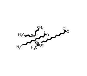 CC(=O)O.CCCCCCCCCCCC(=O)[O-].CCCCCCCCCCCC(=O)[O-].CCC[CH2][Sn+2][CH2]CCC